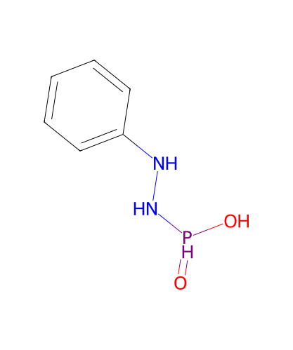 O=[PH](O)NNc1ccccc1